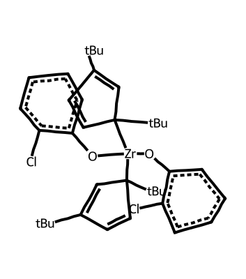 CC(C)(C)C1=C[C](C(C)(C)C)([Zr]([O]c2ccccc2Cl)([O]c2ccccc2Cl)[C]2(C(C)(C)C)C=CC(C(C)(C)C)=C2)C=C1